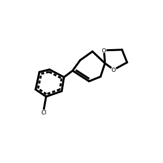 Clc1cccc(C2=CCC3(CC2)OCCO3)c1